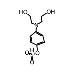 O=[SH](=O)Oc1ccc(N(CCO)CCO)cc1